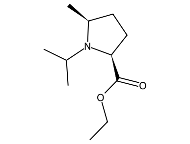 CCOC(=O)[C@@H]1CC[C@H](C)N1C(C)C